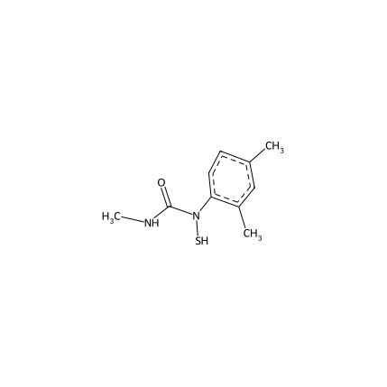 CNC(=O)N(S)c1ccc(C)cc1C